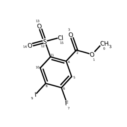 COC(=O)c1cc(F)c(I)cc1S(=O)(=O)Cl